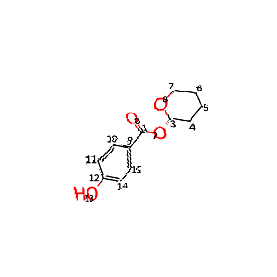 O=C(O[C@H]1CCCCO1)c1ccc(O)cc1